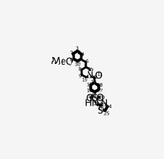 COc1cccc(CC2CCCN(C(=O)c3ccc(S(=O)(=O)Nc4nccs4)cc3)C2)c1